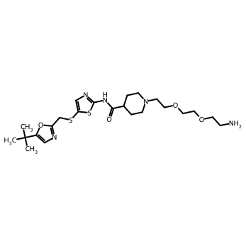 CC(C)(C)c1cnc(CSc2cnc(NC(=O)C3CCN(CCOCCOCCN)CC3)s2)o1